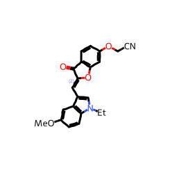 CCn1cc(/C=C2\Oc3cc(OCC#N)ccc3C2=O)c2cc(OC)ccc21